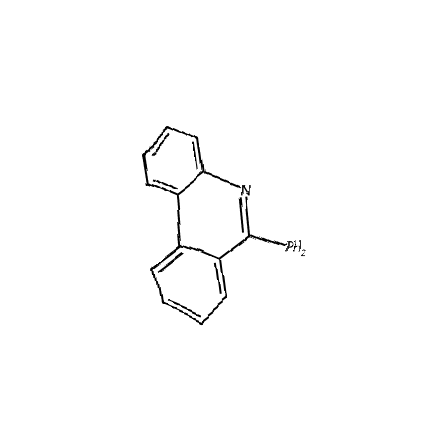 Pc1nc2ccccc2c2ccccc12